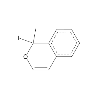 CC1(I)OC=Cc2ccccc21